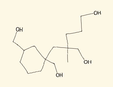 CC(CO)(CCCO)CC1(CO)CCCC(CO)C1